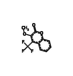 COc1c(C(F)(F)F)c2ccccc2oc1=O